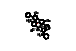 C/[C](c1ccc(C)cc1)=[Zr+2](\[C]1=CC(C2(C)CCCCC2)=CC1C)[c]1c2c(cc(C(C)(C)C)c1-c1ccccc1)-c1cc(C(C)(C)C)c(-c3ccccc3)cc1C2.[Cl-].[Cl-]